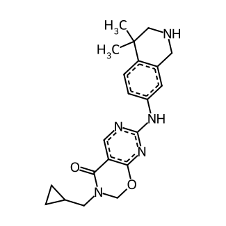 CC1(C)CNCc2cc(Nc3ncc4c(n3)OCN(CC3CC3)C4=O)ccc21